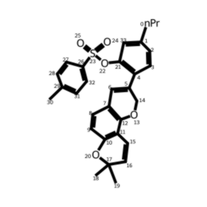 CCCc1ccc(C2=Cc3ccc4c(c3OC2)C=CC(C)(C)O4)c(OS(=O)(=O)c2ccc(C)cc2)c1